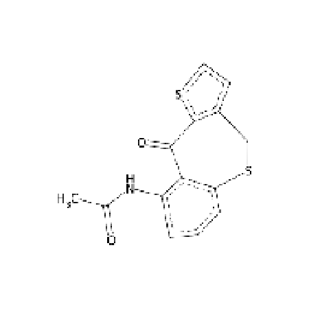 CC(=O)Nc1cccc2c1C(=O)c1sccc1CS2